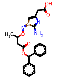 CC(CC(=O)OC(c1ccccc1)c1ccccc1)O/N=S1/C=C(CC(=O)O)N=C1N